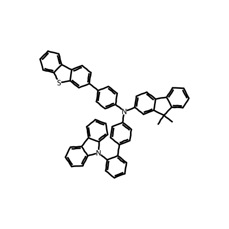 CC1(C)c2ccccc2-c2ccc(N(c3ccc(-c4ccc5c(c4)sc4ccccc45)cc3)c3ccc(-c4ccccc4-n4c5ccccc5c5ccccc54)cc3)cc21